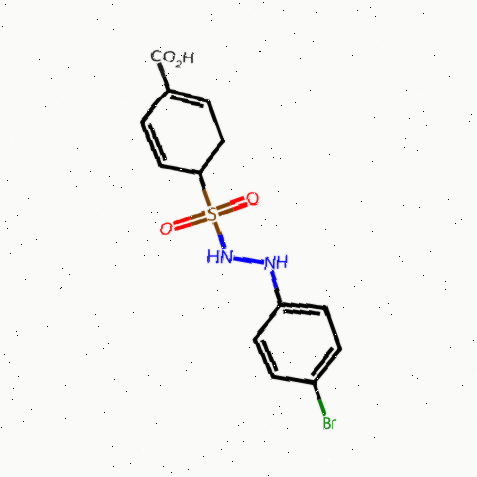 O=C(O)C1=CCC(S(=O)(=O)NNc2ccc(Br)cc2)C=C1